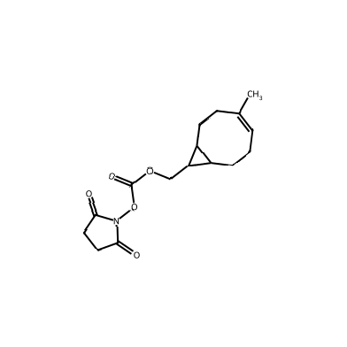 C/C1=C/CCC2C(CC1)C2COC(=O)ON1C(=O)CCC1=O